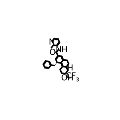 Cc1ncccc1NC(=O)C1=C[C@@H](Cc2ccccc2)C2=C3CC[C@](O)(C(F)(F)F)C[C@H]3CCC2=C1